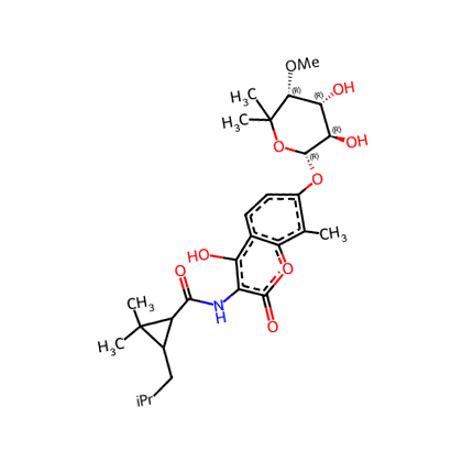 CO[C@@H]1[C@H](O)[C@@H](O)[C@H](Oc2ccc3c(O)c(NC(=O)C4C(CC(C)C)C4(C)C)c(=O)oc3c2C)OC1(C)C